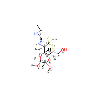 CCNC1=N[C@H]2[C@@H](S1)S[C@H](CO)[C@H]1O[C@](C)(OC)[C@@](C)(OC)O[C@H]21